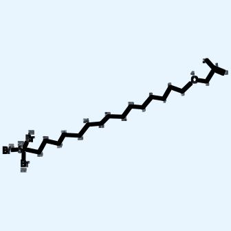 C=C(C)COCCCCCCCCCCCCCCC[Si](Br)(Br)Br